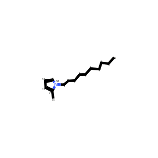 CCCCCCCCCCn1cccc1C